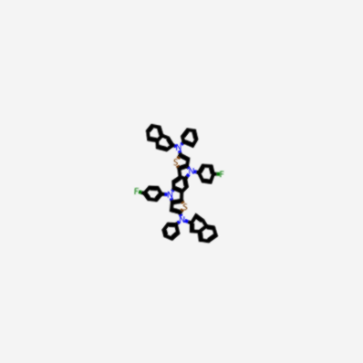 Fc1ccc(-n2c3cc4c5sc(N(c6ccccc6)c6ccc7ccccc7c6)cc5n(-c5ccc(F)cc5)c4cc3c3sc(N(c4ccccc4)c4ccc5ccccc5c4)cc32)cc1